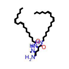 CCCCC/C=C\C/C=C\CCCCCCCCNC(=O)C(C/C(=C/N)NC)NC(=O)CCCCCCC/C=C\C/C=C\CCCCC